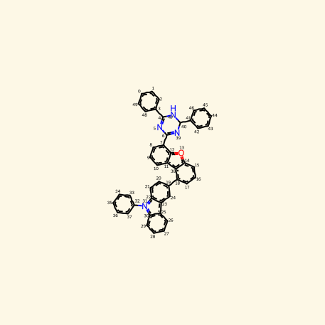 c1ccc(C2=NC(c3cccc4c3oc3cccc(-c5ccc6c(c5)c5ccccc5n6-c5ccccc5)c34)=NC(c3ccccc3)N2)cc1